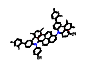 Cc1ccc(-c2ccc(N(C3=C4C=CC5=C6C(=CC=C(C=C3)C46)C(N(c3ccc(C#N)cc3)c3ccc(-c4ccc(C)cc4C)cc3-c3ccc(C)cc3C)C=C5)c3ccc(C#N)cc3)c(-c3ccc(C)cc3C)c2)c(C)c1